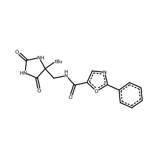 CC(C)(C)C1(CNC(=O)c2cnc(-c3ccccc3)o2)NC(=O)NC1=O